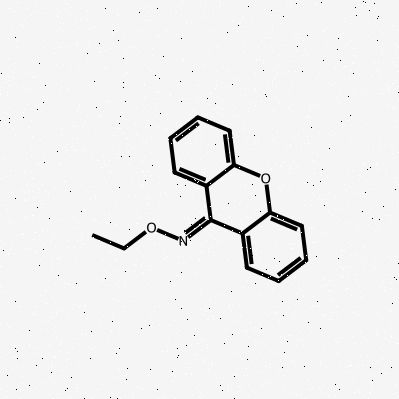 CCON=c1c2ccccc2oc2ccccc12